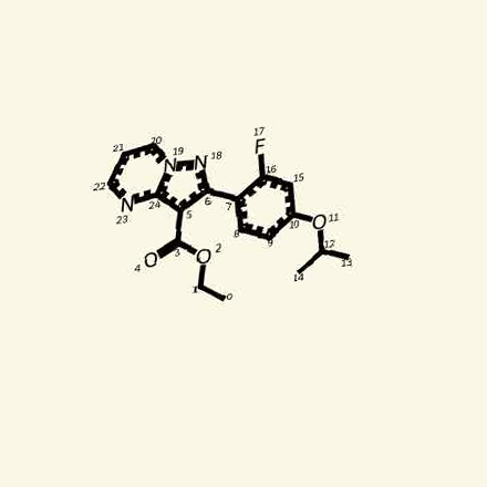 CCOC(=O)c1c(-c2ccc(OC(C)C)cc2F)nn2cccnc12